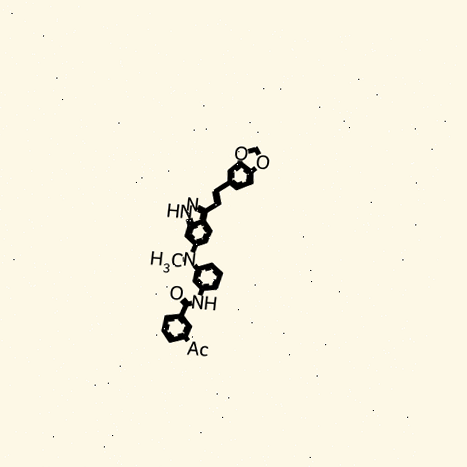 CC(=O)c1cccc(C(=O)Nc2cccc(N(C)c3ccc4c(C=Cc5ccc6c(c5)OCO6)n[nH]c4c3)c2)c1